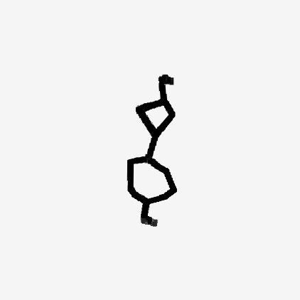 CC(C)(C)C1CCN(C2CC(C(C)(C)C)C2)CC1